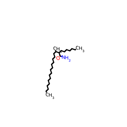 CCCCCCCCCCCCCCCCC(C)C(CCCCCCC)C(N)=O